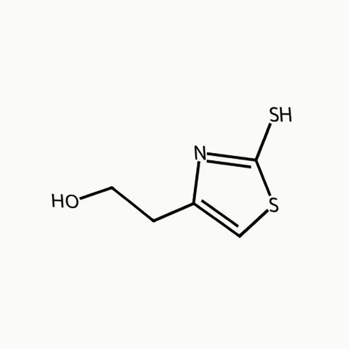 OCCc1csc(S)n1